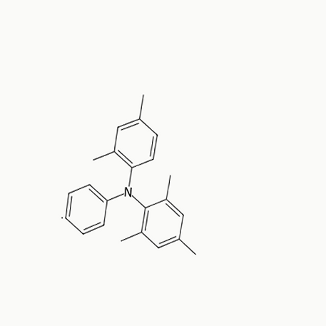 Cc1ccc(N(c2cc[c]cc2)c2c(C)cc(C)cc2C)c(C)c1